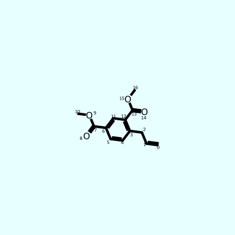 C=CCc1ccc(C(=O)OC)cc1C(=O)OC